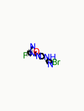 N#C[C@@H]1C[C@H](F)CN1C(=O)CN1CCC(Nc2ccnc(Br)c2)CC1